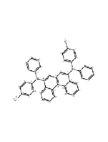 Cc1ccc(N(c2ccccc2)c2cc3cc(N(c4ccccc4)c4ccc(C)cc4)c4ccccc4c3c3ccccc23)cc1